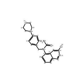 NC(=O)N(Cc1ccc(N2CCOCC2)cc1)c1cccc2cnc(Cl)cc12